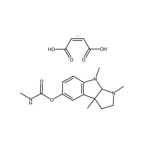 CNC(=O)Oc1ccc2c(c1)C1(C)CCN(C)C1N2C.O=C(O)/C=C\C(=O)O